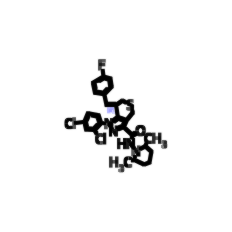 CC1CCCC(C)N1NC(=O)c1nn(-c2ccc(Cl)cc2Cl)c2c1CSC/C2=C\c1ccc(F)cc1